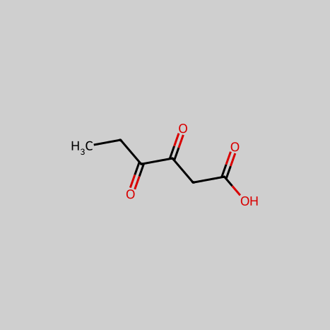 CCC(=O)C(=O)CC(=O)O